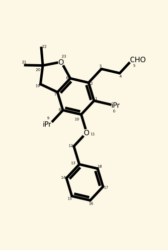 CC(C)c1c(CCC=O)c2c(c(C(C)C)c1OCc1ccccc1)CC(C)(C)O2